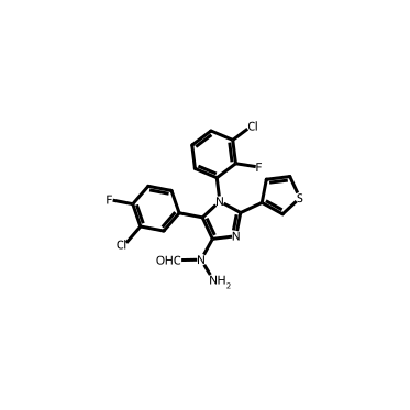 NN(C=O)c1nc(-c2ccsc2)n(-c2cccc(Cl)c2F)c1-c1ccc(F)c(Cl)c1